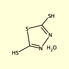 O.Sc1nnc(S)s1